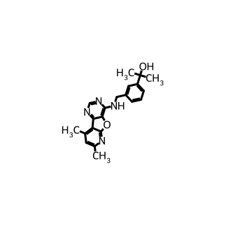 Cc1cc(C)c2c(n1)oc1c(NCc3cccc(C(C)(C)O)c3)ncnc12